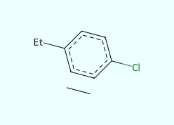 CC.CCc1ccc(Cl)cc1